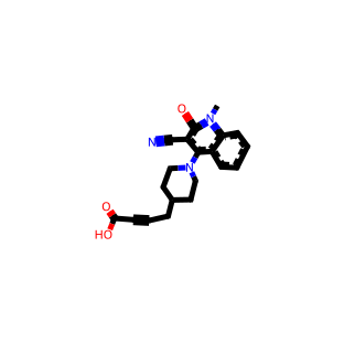 Cn1c(=O)c(C#N)c(N2CCC(CC#CC(=O)O)CC2)c2ccccc21